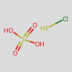 O=S(=O)(O)O.SCl